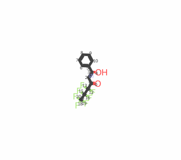 O=C(/C=C(\O)c1ccccc1)C(F)(F)C(F)(F)C(F)(F)F